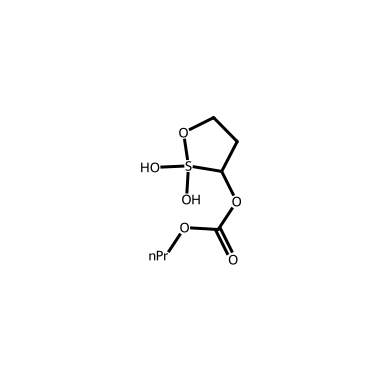 CCCOC(=O)OC1CCOS1(O)O